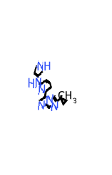 CC1(c2cn3c(-c4cccc(NC5CCNC5)n4)cnc3cn2)CC1